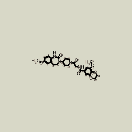 COc1ccc2c(c1)CCN(C1CCN(C(=O)CNC(=O)c3cc(OC)c4c(c3)OCCO4)CC1)C(=O)N2